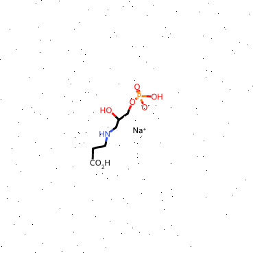 O=C(O)CCNCC(O)COP(=O)([O-])O.[Na+]